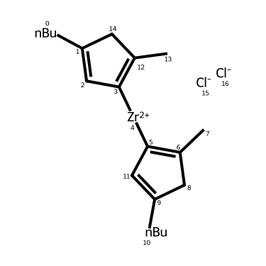 CCCCC1=C[C]([Zr+2][C]2=C(C)CC(CCCC)=C2)=C(C)C1.[Cl-].[Cl-]